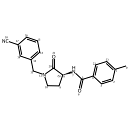 Cc1ccc(C(=O)N[C@H]2CCN(Cc3cccc(C#N)c3)C2=O)cc1